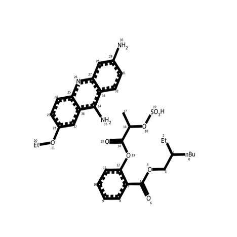 CCCCC(CC)COC(=O)c1ccccc1OC(=O)C(C)OS(=O)(=O)O.CCOc1ccc2nc3cc(N)ccc3c(N)c2c1